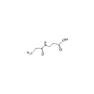 CCC(=O)NCCC(=O)O